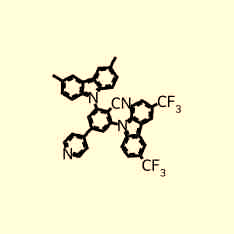 Cc1ccc2c(c1)c1cc(C)ccc1n2-c1cc(-c2ccncc2)cc(-n2c3ccc(C(F)(F)F)cc3c3cc(C(F)(F)F)ccc32)c1C#N